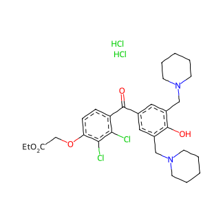 CCOC(=O)COc1ccc(C(=O)c2cc(CN3CCCCC3)c(O)c(CN3CCCCC3)c2)c(Cl)c1Cl.Cl.Cl